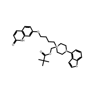 CC(C)(C)C(=O)OC[N+]1(CCCCOc2ccc3ccc(=O)[nH]c3c2)CCN(c2cccc3sccc23)CC1